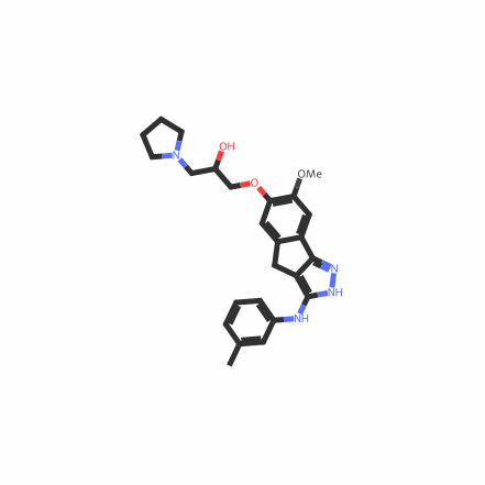 COc1cc2c(cc1OCC(O)CN1CCCC1)Cc1c-2n[nH]c1Nc1cccc(C)c1